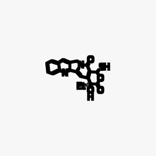 CC[C@@]1(O)C(=O)OC(S)c2c1cc1n(c2=O)Cc2cc3ccccc3nc2-1